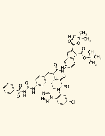 CC(C)(C)OC(=O)c1cc2cc(NC(=O)[C@H](Cc3ccc(NC(=O)NS(=O)(=O)c4ccccc4)cc3)N3CCN(c4cc(Cl)ccc4-n4cnnn4)C(=O)C3=O)ccc2n1C(=O)OC(C)(C)C